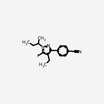 CCc1c(-c2ccc(C#N)cc2)nn(C(C)CC)c1I